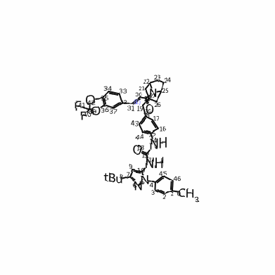 Cc1ccc(-n2nc(C(C)(C)C)cc2NC(=O)Nc2ccc(CC3CC4CCC(C3)N4C(=O)/C=C/c3ccc4c(c3)OC(F)(F)O4)cc2)cc1